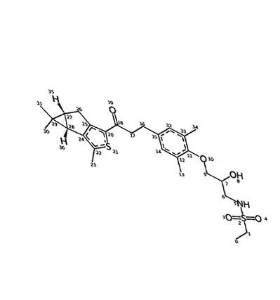 CCS(=O)(=O)NCC(O)COc1c(C)cc(CCC(=O)c2sc(C)c3c2C[C@@H]2[C@H]3C2(C)C)cc1C